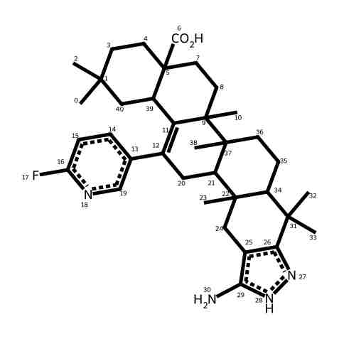 CC1(C)CCC2(C(=O)O)CCC3(C)C(=C(c4ccc(F)nc4)CC4C5(C)Cc6c(n[nH]c6N)C(C)(C)C5CCC43C)C2C1